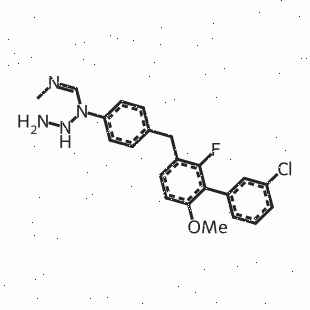 C/N=C\N(NN)c1ccc(Cc2ccc(OC)c(-c3cccc(Cl)c3)c2F)cc1